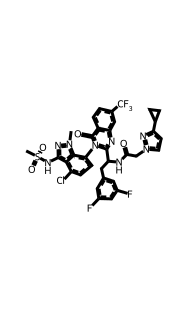 Cn1nc(NS(C)(=O)=O)c2c(Cl)ccc(-n3c(C(Cc4cc(F)cc(F)c4)NC(=O)Cn4ccc(C5CC5)n4)nc4cc(C(F)(F)F)ccc4c3=O)c21